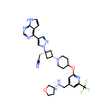 N#CC[C@]1(n2cc(-c3ncnc4[nH]ccc34)cn2)C[C@H](N2CCC(Oc3cc(CN[C@@H]4CCOC4)cc(C(F)(F)F)n3)CC2)C1